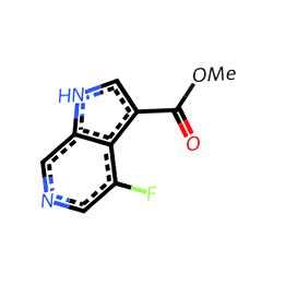 COC(=O)c1c[nH]c2cncc(F)c12